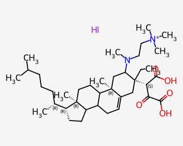 CCC1([C@H](C(=O)O)C(=O)C(=O)O)CC2=CCC3C(CC[C@@]4(C)C3CC[C@@H]4[C@H](C)CCCC(C)C)[C@@]2(C)CC1N(C)CC[N+](C)(C)C.I